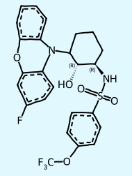 O=S(=O)(N[C@@H]1CCCC(N2c3ccccc3Oc3cc(F)ccc32)[C@H]1O)c1ccc(OC(F)(F)F)cc1